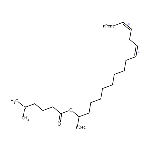 CCCCC/C=C\C/C=C\CCCCCCCCC(CCCCCCCCCC)OC(=O)CCCN(C)C